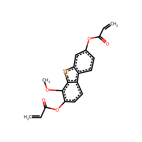 C=CC(=O)Oc1ccc2c(c1)sc1c(OC)c(OC(=O)C=C)ccc12